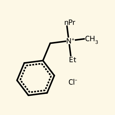 CCC[N+](C)(CC)Cc1ccccc1.[Cl-]